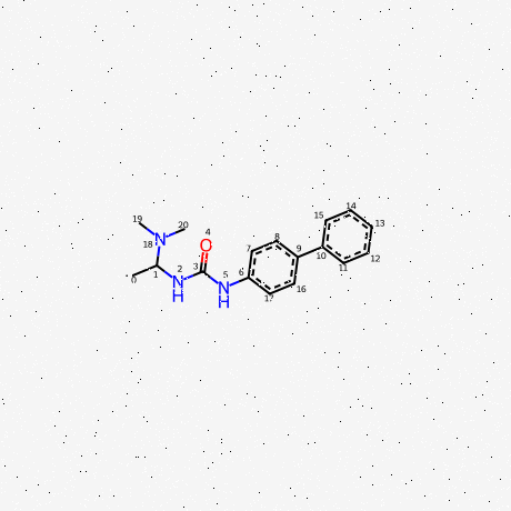 [CH2]C(NC(=O)Nc1ccc(-c2ccccc2)cc1)N(C)C